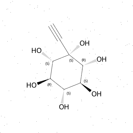 C#C[C@@]1(O)[C@H](O)[C@@H](O)[C@H](O)[C@@H](O)[C@@H]1O